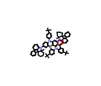 CC(C)(C)c1ccc(N2c3ccc(N4c5ccccc5C5(c6ccccc6)CCCCC45C)cc3B3c4cc(C(C)(C)C)ccc4N(c4ccc(C(C)(C)C)cc4-c4ccccc4)c4cc(N5c6ccccc6C6(c7ccccc7)CCCCC56C)cc2c43)cc1